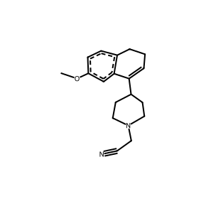 COc1ccc2c(c1)C(C1CCN(CC#N)CC1)=CCC2